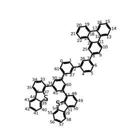 c1cc(-c2cccc(-c3ccc4c5ccccc5c5ccccc5c4c3)c2)cc(-c2cc(-c3cccc4c3sc3ccccc34)cc(-c3cccc4c3sc3ccccc34)c2)c1